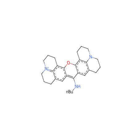 CCCCNC1=c2cc3c4c(c2Oc2c1cc1c5c2CCCN5CCC1)CCC[N+]=4CCC3